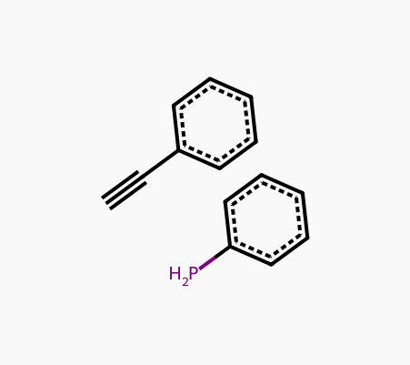 C#Cc1ccccc1.Pc1ccccc1